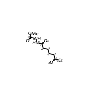 CCC(=O)CCCCC(=O)NNC(=O)OC